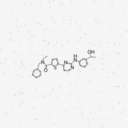 CCN(Cc1ccccc1)C(=O)c1ccc(-c2ccnc(Nc3cccc(C(C)O)c3)n2)s1